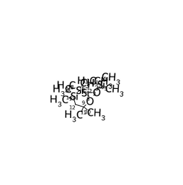 CC[Si]1(O[Si](C)(C)C)OC(C)(C)C[Si](C)(C)[Si]1(C)C